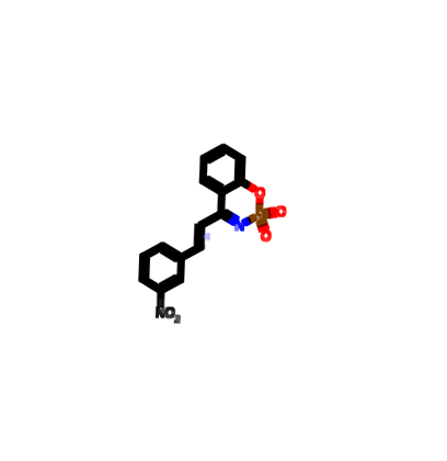 O=[N+]([O-])c1cccc(/C=C/C2=NS(=O)(=O)Oc3ccccc32)c1